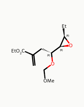 C=C(C[C@@H](OCOC)[C@@H]1O[C@@H]1CC)C(=O)OCC